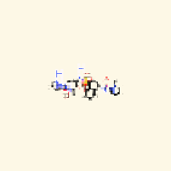 Cc1ccccc1C(=O)Nc1ccc(S(=O)(=O)N[C@H]2CCN(C(=O)[C@@H]3CCCN3)[C@@H](C)C2)c2ccccc12